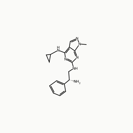 Cn1ncc2c(NC3CC3)nc(NC[C@H](N)c3ccccc3)nc21